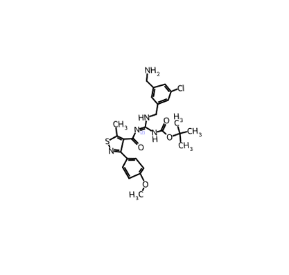 COc1ccc(-c2nsc(C)c2C(=O)/N=C(/NCc2cc(Cl)cc(CN)c2)NC(=O)OC(C)(C)C)cc1